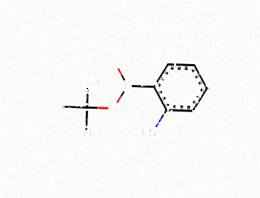 CCCCC(CCC)(CCCC)OB(O)c1ccccc1N